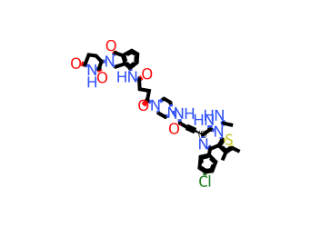 CC(=N)N1C(=N)[C@H](C#CC(=O)NN2CCN(C(=O)CCC(=O)Nc3cccc4c3CN(C3CCC(=O)NC3=O)C4=O)CC2)N=C(c2ccc(Cl)cc2)c2c1sc(C)c2C